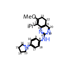 COC1=C(C(C)C)c2nc(Nc3ccc(N4CCCC4)cc3)ncc2CC1